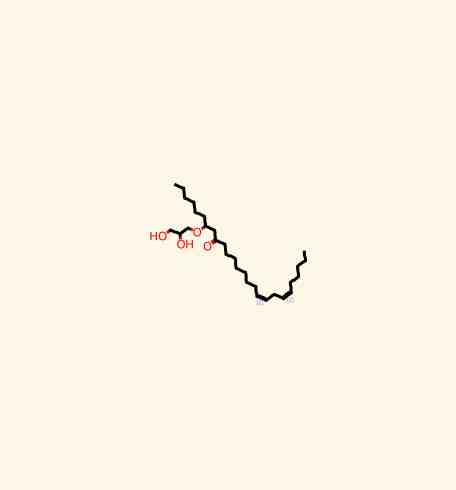 CCCCC/C=C\C/C=C\CCCCCCCC(=O)CC(CCCCCC)OCC(O)CO